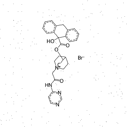 O=C(C[N+]12CCC(CC1)C(OC(=O)C1(O)c3ccccc3Cc3ccccc31)C2)Nc1ccncn1.[Br-]